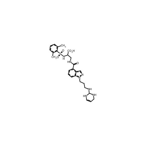 Cc1cccc(C)c1S(=O)(=O)NC(CNC(=O)c1cccc2c1cnn2CCCNC1NC=CCN1)C(=O)O